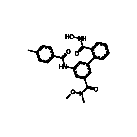 CON(C)C(=O)c1cc(NC(=O)c2ccc(C)cc2)cc(-c2ccccc2C(=O)NO)c1